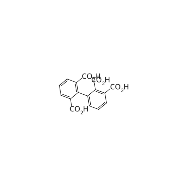 O=C(O)c1cccc(-c2c(C(=O)O)cccc2C(=O)O)c1C(=O)O